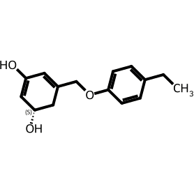 CCc1ccc(OCC2=CC(O)=C[C@@H](O)C2)cc1